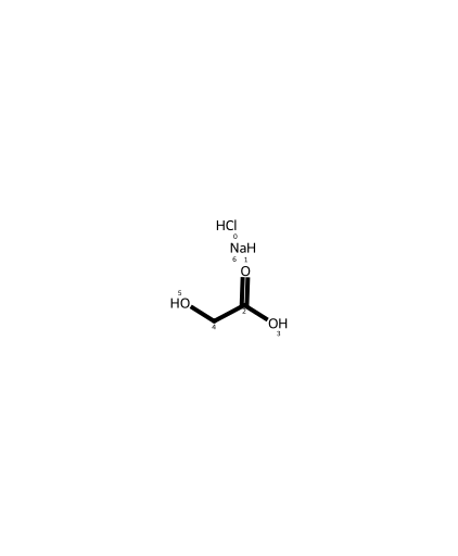 Cl.O=C(O)CO.[NaH]